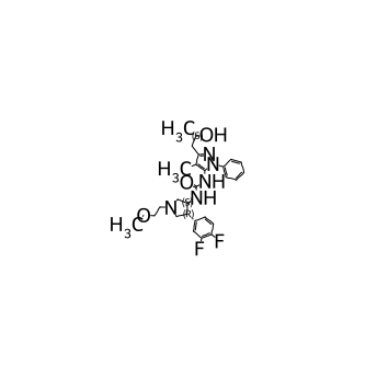 COCCN1C[C@@H](NC(=O)Nc2c(C)c(C[C@H](C)O)nn2-c2ccccc2)[C@H](c2ccc(F)c(F)c2)C1